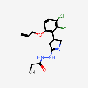 C=CCOc1ccc(Cl)c(Cl)c1C1CN=C(NNC(=O)CC#N)C1